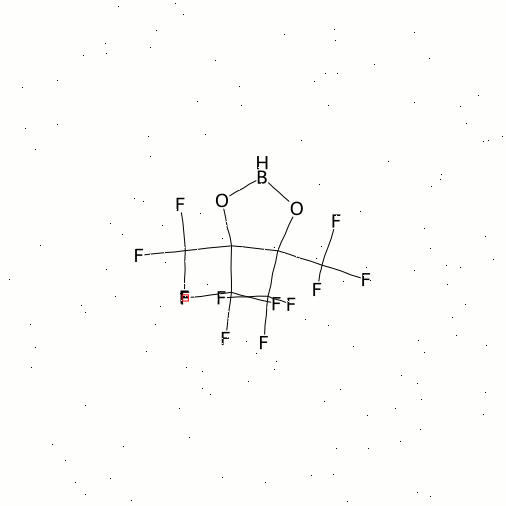 FC(F)(F)C1(C(F)(F)F)OBOC1(C(F)(F)F)C(F)(F)F